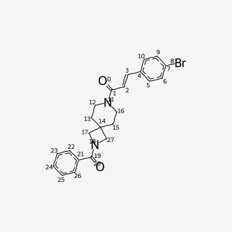 O=C(C=Cc1ccc(Br)cc1)N1CCC2(CC1)CN(C(=O)c1ccccc1)C2